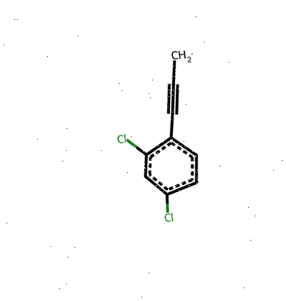 [CH2]C#Cc1ccc(Cl)cc1Cl